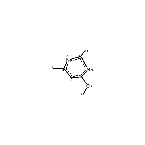 COc1cc(C)nc(C)n1